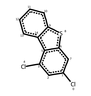 Clc1cc(Cl)c2c(c1)sc1ccccc12